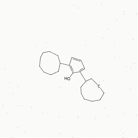 Oc1c(C2CCCCCCCC2)cccc1C1CCCCCCCC1